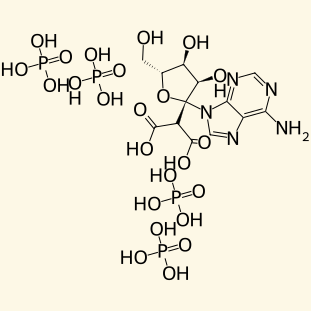 Nc1ncnc2c1ncn2[C@]1(C(C(=O)O)C(=O)O)O[C@H](CO)[C@@H](O)[C@H]1O.O=P(O)(O)O.O=P(O)(O)O.O=P(O)(O)O.O=P(O)(O)O